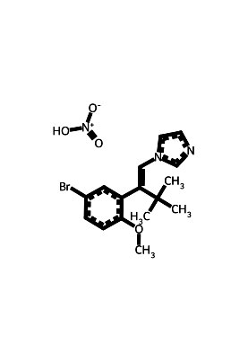 COc1ccc(Br)cc1C(=Cn1ccnc1)C(C)(C)C.O=[N+]([O-])O